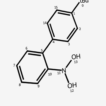 CC(C)(C)c1ccc(-c2ccccc2N(O)O)cc1